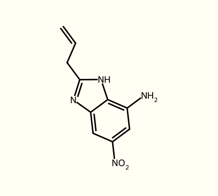 C=CCc1nc2cc([N+](=O)[O-])cc(N)c2[nH]1